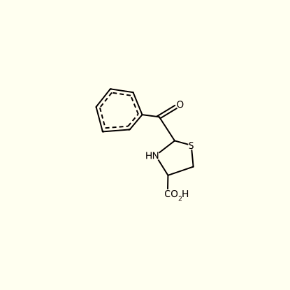 O=C(O)C1CSC(C(=O)c2ccccc2)N1